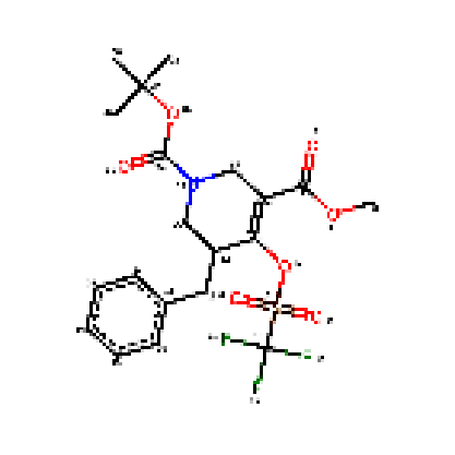 COC(=O)C1=C(OS(=O)(=O)C(F)(F)F)C(Cc2ccccc2)CN(C(=O)OC(C)(C)C)C1